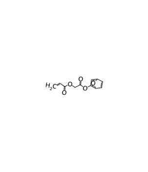 C=CC(=O)OCC(=O)Oc1cc2ccc1o2